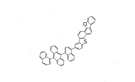 c1ccc2c(-c3c4ccccc4c(-c4ccc(-c5ccc6sc7c(ccc8c7ccc7c9ccccc9oc78)c6c5)c5ccccc45)c4ccccc34)cccc2c1